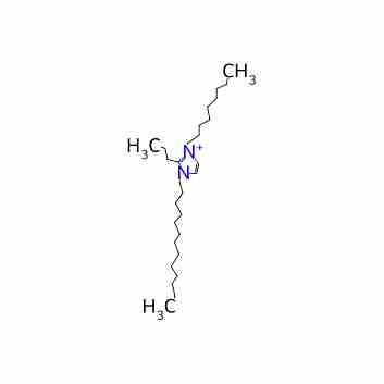 CCCCCCCCCCCCCn1cc[n+](CCCCCCCCC)c1CCC